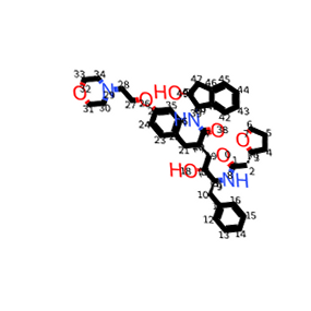 O=C(C[C@H]1CCCO1)N[C@@H](Cc1ccccc1)[C@@H](O)C[C@@H](Cc1ccc(OCCN2CCOCC2)cc1)C(=O)N[C@H]1c2ccccc2C[C@H]1O